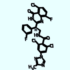 Cc1ncn(-c2cc(Cl)c(C(=O)NC[C@@H](c3cccc(F)c3)c3nc4c(F)ccc(Cl)c4c(=O)[nH]3)c(Cl)c2)n1